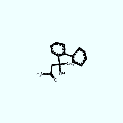 CC(O)(CC(N)=O)c1ccccc1-c1ccccc1